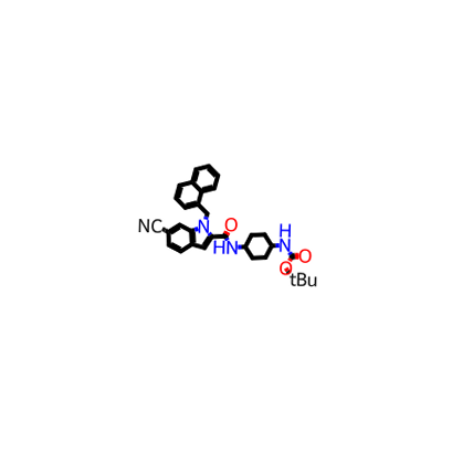 CC(C)(C)OC(=O)NC1CCC(NC(=O)c2cc3ccc(C#N)cc3n2Cc2cccc3ccccc23)CC1